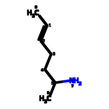 CC=CCCC(C)N